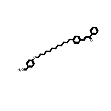 C=Cc1ccc(OCCCCCCCCCCCCc2ccc(/C=C/C(=O)c3ccccc3)cc2)cc1